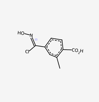 Cc1cc(/C(Cl)=N/O)ccc1C(=O)O